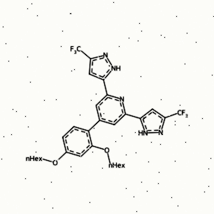 CCCCCCOc1ccc(-c2cc(-c3cc(C(F)(F)F)n[nH]3)nc(-c3cc(C(F)(F)F)n[nH]3)c2)c(OCCCCCC)c1